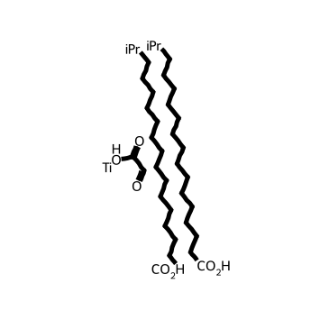 CC(C)CCCCCCCCCCCCCCC(=O)O.CC(C)CCCCCCCCCCCCCCC(=O)O.O=CC(=O)O.[Ti]